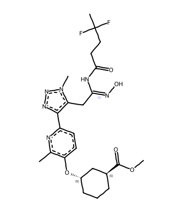 COC(=O)[C@H]1CCC[C@H](Oc2ccc(-c3nnn(C)c3C/C(=N/O)NC(=O)CCC(C)(F)F)nc2C)C1